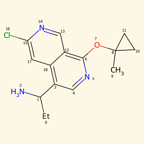 CCC(N)c1cnc(OC2(C)CC2)c2cnc(Cl)cc12